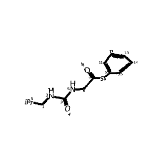 CC(C)CNC(=O)NCC(=O)Sc1ccccc1